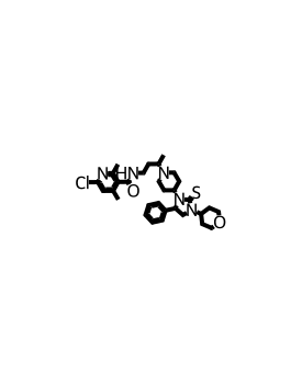 Cc1cc(Cl)nc(C)c1C(=O)NCCC(C)N1CCC(N2C(=S)N(C3CCOCC3)CC2c2ccccc2)CC1